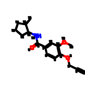 C#CCOc1ccc(C(=O)NC2CCCC2C)cc1OC